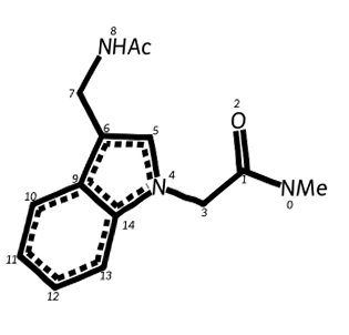 CNC(=O)Cn1cc(CNC(C)=O)c2ccccc21